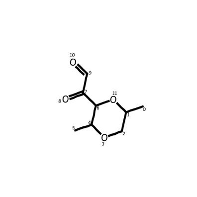 CC1COC(C)C(C(=O)C=O)O1